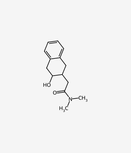 CN(C)C(=O)CC1Cc2ccccc2CC1O